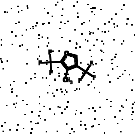 Cc1c(C(F)(F)F)coc1C(F)(F)F